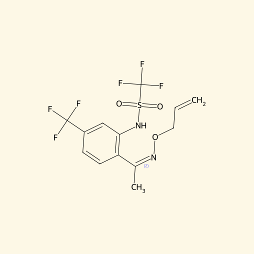 C=CCO/N=C(/C)c1ccc(C(F)(F)F)cc1NS(=O)(=O)C(F)(F)F